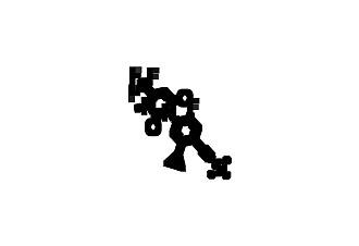 Cn1c(C(F)(F)F)cc(=O)n(-c2cc(C3CC3)c(C#C[Si](C)(C)C)cc2F)c1=O